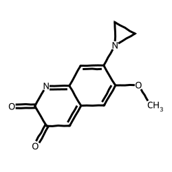 COc1cc2c(cc1N1CC1)=NC(=O)C(=O)C=2